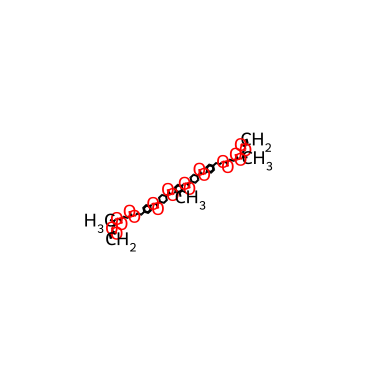 C=CC(=O)OCC(C)OC(=O)CCC(=O)OCCc1ccc(OC(=O)C2CCC(C(=O)Oc3ccc(OC(=O)C4CCC(C(=O)Oc5ccc(CCOC(=O)CCC(=O)OC(C)COC(=O)C=C)cc5)CC4)c(C)c3)CC2)cc1